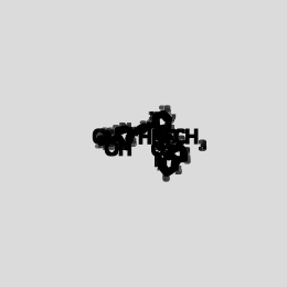 Cc1ccc2cccnc2c1S(=O)(=O)Nc1ccccc1C#Cc1ccc(C2(O)COC2)nc1